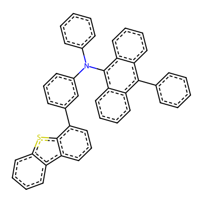 c1ccc(-c2c3ccccc3c(N(c3ccccc3)c3cccc(-c4cccc5c4sc4ccccc45)c3)c3ccccc23)cc1